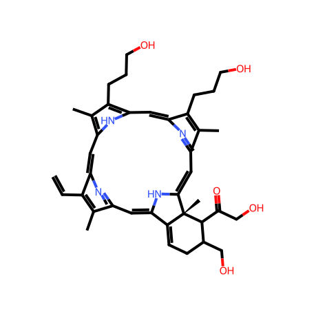 C=CC1=C(C)c2cc3[nH]c(cc4nc(cc5[nH]c(cc1n2)c(C)c5CCCO)C(CCCO)=C4C)[C@@]1(C)C3=CCC(CO)C1C(=O)CO